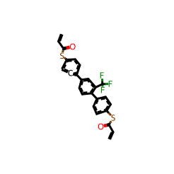 C=CC(=O)Sc1ccc(-c2ccc(-c3ccc(SC(=O)C=C)cc3)c(C(F)(F)F)c2)cc1